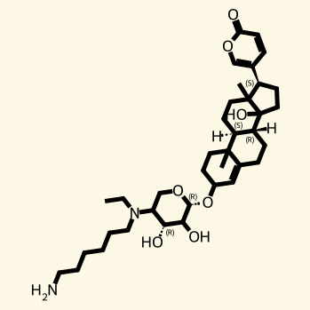 CCN(CCCCCCN)C1CO[C@H](OC2C=C3CC[C@@H]4[C@H](CCC5(C)[C@@H](c6ccc(=O)oc6)CCC45O)C3(C)CC2)C(O)[C@@H]1O